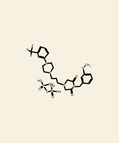 COc1cccc(CN2C(=O)CN(CCCN3CCN(c4cccc(C(F)(F)F)c4)CC3)CC2=O)c1.O=P(O)(O)OP(=O)(O)O